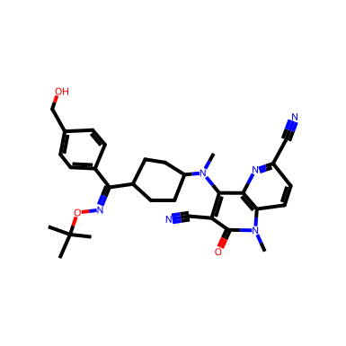 CN(c1c(C#N)c(=O)n(C)c2ccc(C#N)nc12)C1CCC(C(=NOC(C)(C)C)c2ccc(CO)cc2)CC1